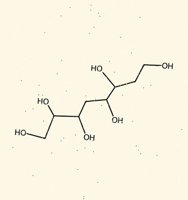 OCCC(O)C(O)CC(O)C(O)CO